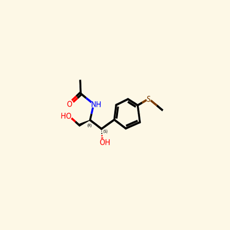 CSc1ccc([C@H](O)[C@@H](CO)NC(C)=O)cc1